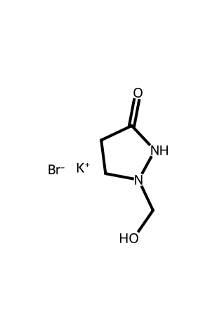 O=C1CCN(CO)N1.[Br-].[K+]